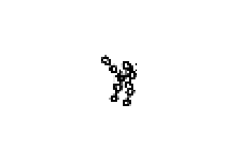 C1=CC2C=C(c3ccc4oc5ccccc5c4c3-c3nc(-c4ccc(-c5ccccc5)cc4)nc(-c4ccc(-c5ccccc5)cc4)n3)C=CC2C=C1c1ccccc1